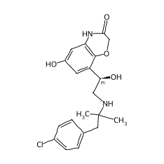 CC(C)(Cc1ccc(Cl)cc1)NC[C@H](O)c1cc(O)cc2c1OCC(=O)N2